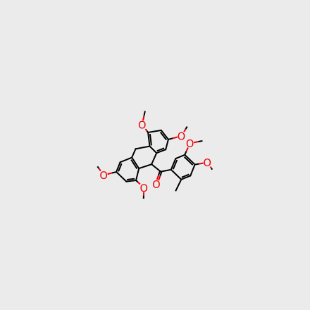 COc1cc2c(c(OC)c1)C(C(=O)c1cc(OC)c(OC)cc1C)c1cc(OC)cc(OC)c1C2